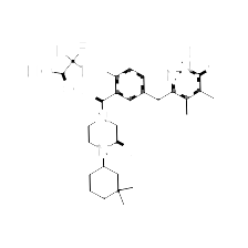 Cc1c(Cc2ccc(F)c(C(=O)N3CCN(C4CCCC(C)(C)C4)C(=O)C3)c2)n[nH]c(=O)c1C.O=C(O)C(F)(F)F